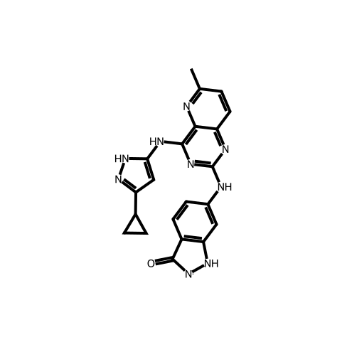 Cc1ccc2nc(Nc3ccc4c(c3)N[N]C4=O)nc(Nc3cc(C4CC4)n[nH]3)c2n1